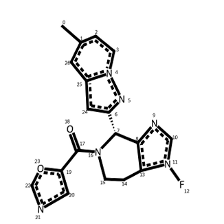 Cc1ccn2nc([C@@H]3c4ncn(F)c4CCN3C(=O)c3cnco3)cc2c1